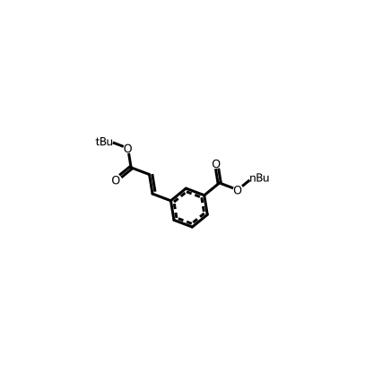 CCCCOC(=O)c1cccc(/C=C/C(=O)OC(C)(C)C)c1